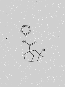 CCC1(C)CC2CCC(C(=O)Nc3nccs3)(C2)C1